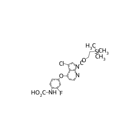 C[Si](C)(C)CCOCn1cc(Cl)c2c(Oc3ccc(NC(=O)O)c(F)c3)ccnc21